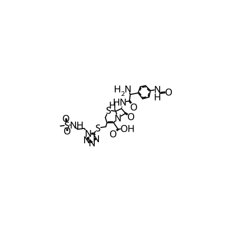 CS(=O)(=O)NCCn1nnnc1SCC1=C(C(=O)O)N2C(=O)[C@@H](NC(=O)C(N)c3ccc(NC=O)cc3)[C@H]2SC1